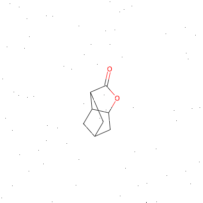 O=C1OC2CC3CC1C2C3